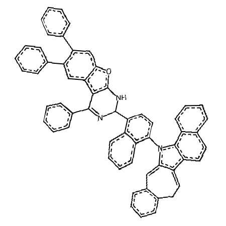 C1=c2c(n(-c3ccc(C4N=C(c5ccccc5)c5c(oc6cc(-c7ccccc7)c(-c7ccccc7)cc56)N4)c4ccccc34)c3c2ccc2ccccc23)=Cc2ccccc2C1